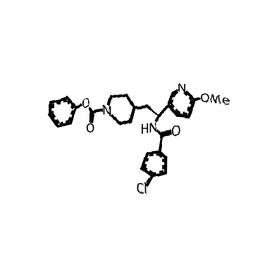 COc1ccc([C@H](CC2CCN(C(=O)Oc3ccccc3)CC2)NC(=O)c2ccc(Cl)cc2)cn1